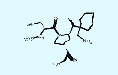 CCOC(=O)N[C@H](CC(C)(C)C)C(=O)N1C[C@@H](C(=N)N)C[C@@H]1C(=O)C1(CN)CCCCC1